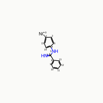 N#Cc1ccc(NC(=N)c2ccccc2)cc1